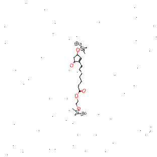 CC(C)(C)[Si](C)(C)OCCOC(=O)CCCCCCC1=C[C@H](O[Si](C)(C)C(C)(C)C)CC1=O